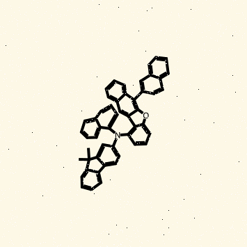 CC1(C)c2ccccc2-c2ccc(N(c3cccc4ccccc34)c3cccc4oc5c(-c6ccc7ccccc7c6)c6ccccc6cc5c34)cc21